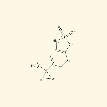 O=C(O)C1(c2ccc3c(c2)NS(=O)(=O)C3)CC1